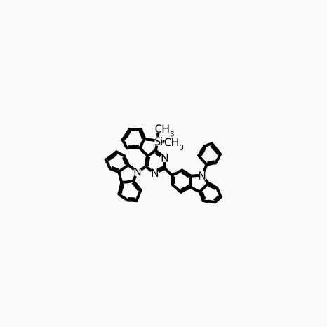 C[Si]1(C)c2ccccc2-c2c(-n3c4ccccc4c4ccccc43)nc(-c3ccc4c5ccccc5n(-c5ccccc5)c4c3)nc21